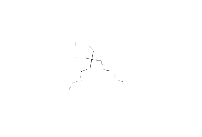 CC(CCOOC(C)(C)C)(CCOOC(C)(C)C)CC(=O)O